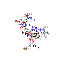 CCC(/C=C/CCS)OC(=O)C(NC1(O)SCC(NC(=O)C(NCO)C(C)C)C(=O)NC1C(C)SCC(NC(=O)CCC(N)C(=O)O)C(=O)NCC(=O)O)C(C)C